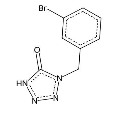 O=c1[nH]nnn1Cc1cccc(Br)c1